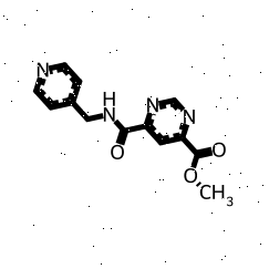 COC(=O)c1cc(C(=O)NCc2ccncc2)ncn1